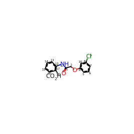 O=C(COc1cccc(Cl)c1)Nc1ccccc1C(=O)O